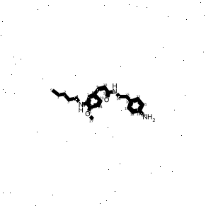 CCCCCNc1cc(/C=C\C(=O)NCCc2ccc(N)cc2)ccc1OC